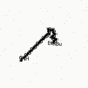 C=CC(=O)NCCOCCOCCOCCOCCOCCOCCOCCOCC(C)OCC(C)OCC(C)OCC(C)OCC(C)OCC(C)OCC(CC)CCCC